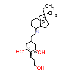 CC[C@@]1(C)C[C@]23CCC/C(=C\C=C4C[C@@H](O)C(=CCCO)[C@H](O)C4)C2CCC13